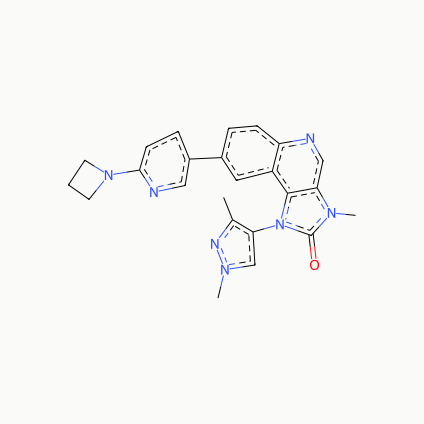 Cc1nn(C)cc1-n1c(=O)n(C)c2cnc3ccc(-c4ccc(N5CCC5)nc4)cc3c21